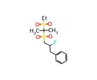 CCS(=O)(=O)C(C)(C)S(=O)(=O)CC(F)Cc1ccccc1